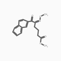 CO/N=C(/CCCC(=O)OC)C(=O)c1ccc2ccccc2c1